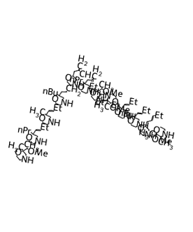 C=C(C)CC1CNCCO1.C=CCC1(CCC)CNCCO1.C=CCC1(CCCC)CNCCO1.CCC1(C(C)OC)CNCCO1.CCC1NCCOC1(C)OC.CCC=CC1(C)CNCCO1.CCC=CC1(CC)CNCCO1.CCC=CC1(CCC)CNCCO1.CCC=CC1(CCCC)CNCCO1.CCC=CCC1CNCCO1.COC(C)C1(C)CNCCO1.COC1(C)OCCNC1C